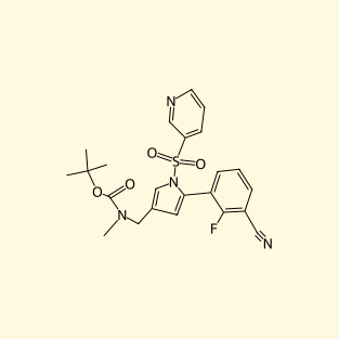 CN(Cc1cc(-c2cccc(C#N)c2F)n(S(=O)(=O)c2cccnc2)c1)C(=O)OC(C)(C)C